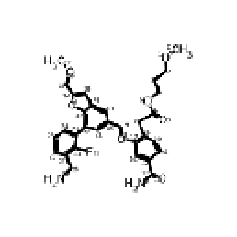 COCCCOC(=O)Cc1ccc(C(N)=O)cc1OCc1cc(-c2cccc(CN)c2F)c2oc(COC)cc2c1